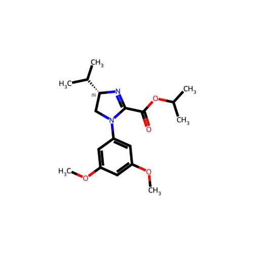 COc1cc(OC)cc(N2C[C@H](C(C)C)N=C2C(=O)OC(C)C)c1